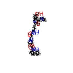 O=C(CCN1CCC(OC(=O)Nc2ccccc2-c2ccccc2)CC1)NCCCCCN(Cc1ccc(O)cc1)C(=O)CCCN1CCCC1